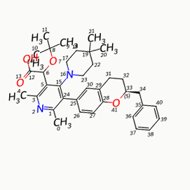 Cc1nc(C)c(C(OC(C)(C)C)C(=O)O)c(N2CCC(C)(C)CC2)c1-c1ccc2c(c1)CC[C@@H](Cc1ccccc1)O2